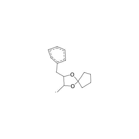 [CH2]C1OC2(CCCC2)OC1Cc1ccccc1